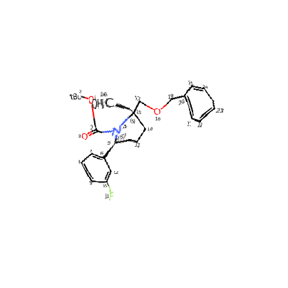 CC(C)(C)OC(=O)N1[C@H](c2cccc(F)c2)CC[C@@]1(C=O)COCc1ccccc1